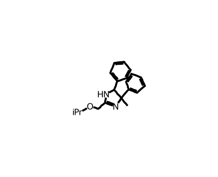 CC(C)OCC1=NC(C)(c2ccccc2)C(c2ccccc2)N1